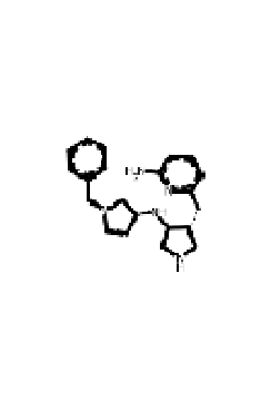 Nc1cccc(C[C@@H]2CNCC2N[C@H]2CCN(Cc3ccccc3)C2)n1